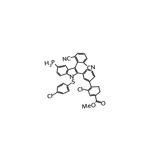 COC(=O)C1=CC(Cl)=C(c2cccc(-c3c(-c4c(C#N)cccc4C#N)c4cc(P)ccc4n3Sc3ccc(Cl)cc3)c2)CC1